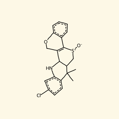 CC1(C)c2ccc(Cl)cc2NC2C3=C(c4ccccc4OC3)[S+]([O-])CC21